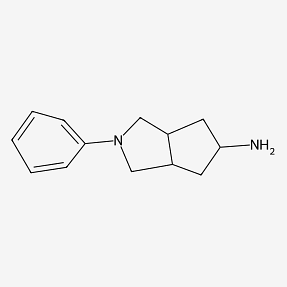 NC1CC2CN(c3ccccc3)CC2C1